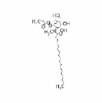 C=CC(=O)OOC1O[C@H](CO)[C@@H](O)[C@H](O)[C@H]1N(C)C(=O)CCCCCCCCCCCCCCCCC